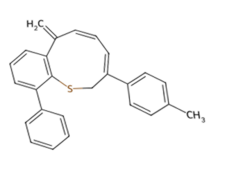 C=C1/C=C\C=C(\c2ccc(C)cc2)CSc2c1cccc2-c1ccccc1